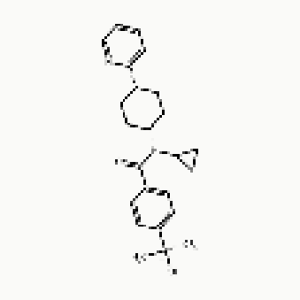 C[C@](O)(c1ccc(C(=O)N(C2CC2)[C@H]2CC[C@@H](c3ccccn3)CC2)cc1)C(F)(F)F